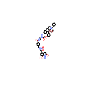 O=C(COc1cccc([C@@](O)(C(=O)O)c2ccccc2CC2CCN(Cc3ccccc3)CC2)c1)NC1CN(C(=O)c2ccc(CNC[C@H](O)c3ccc(O)c4[nH]c(=O)ccc34)cc2)C1